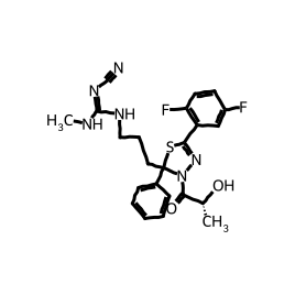 CN/C(=N/C#N)NCCCC1(c2ccccc2)SC(c2cc(F)ccc2F)=NN1C(=O)[C@@H](C)O